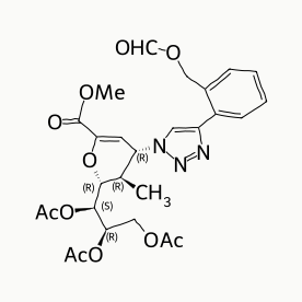 COC(=O)C1=C[C@H](n2cc(-c3ccccc3COC=O)nn2)[C@@H](C)[C@H]([C@H](OC(C)=O)[C@@H](COC(C)=O)OC(C)=O)O1